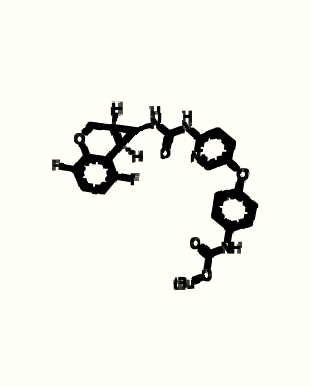 CC(C)(C)OC(=O)Nc1ccc(Oc2ccc(NC(=O)N[C@@H]3[C@@H]4COc5c(F)ccc(F)c5[C@@H]43)nc2)cc1